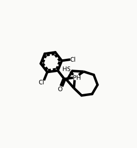 O=C(c1c(Cl)cccc1Cl)[PH]1(S)C2CCCCC1CC2